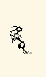 COc1ccc(-c2nc3c4cccc(C)c4ncn3n2)cc1